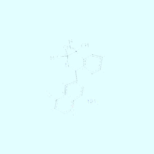 CC1(C)N=C(c2cc(N)c3occc(=O)c3c2)c2ccccc2C1(C)C